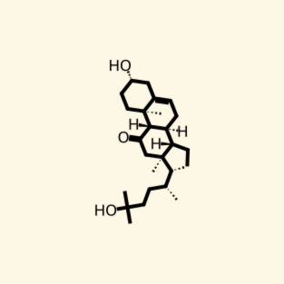 C[C@H](CCC(C)(C)O)[C@H]1CC[C@H]2[C@@H]3CC=C4C[C@@H](O)CC[C@]4(C)[C@H]3C(=O)C[C@]12C